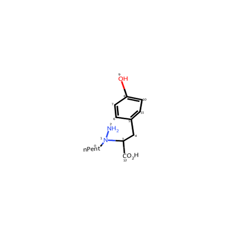 CCCCCN(N)C(Cc1ccc(O)cc1)C(=O)O